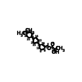 C[C@@H](O)C(=O)OCc1cccc(-c2ccc(C3=CCC(C)(C)CC3)cc2)c1